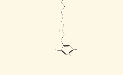 CCCCCCCCCCCCCCCCNCCc1cc(O)c(O)cc1[N+](=O)[O-]